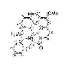 COc1cc2c(cc1OC)CN(C(=O)[C@@H]1Cc3ccccc3CN1Cc1ccccc1OC(F)(F)F)CC2